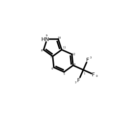 FC(F)(F)c1ccc2c[nH]cc2c1